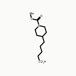 CC(C)(C)OC(=O)N1CCC(CCCCC(=O)O)CC1